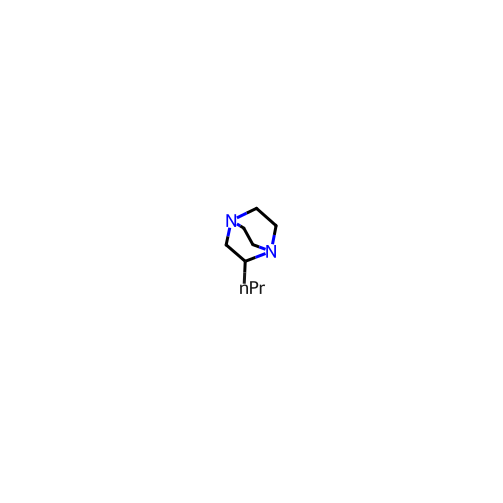 CCCC1CN2CCN1CC2